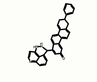 O=C1C=C(C2NNc3[c]cnc4cccc2c34)c2ccc3c4c(ccc3c2=C1)CC(c1ccccc1)CC=4